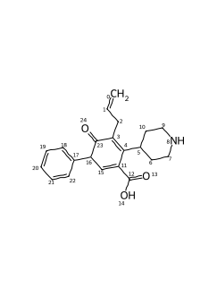 C=CCC1=C(C2CCNCC2)C(C(=O)O)=CC(c2ccccc2)C1=O